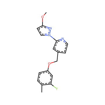 COc1ccn(-c2cc(COc3ccc(C)c(F)c3)ccn2)n1